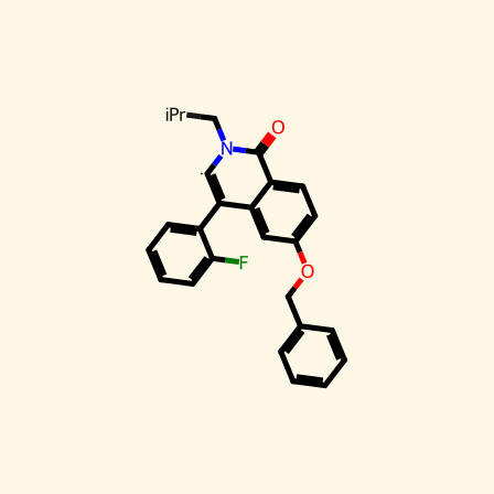 CC(C)Cn1[c]c(-c2ccccc2F)c2cc(OCc3ccccc3)ccc2c1=O